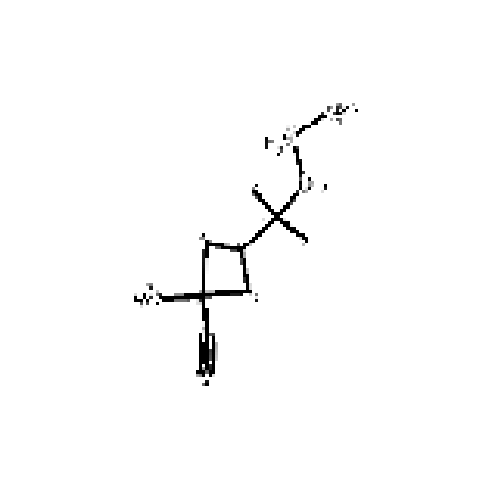 C#CC1(O)CC(C(C)(C)O[SiH2]C(C)(C)C)C1